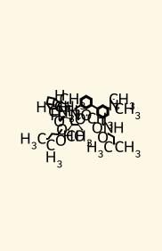 COc1c(CN2O[C@@H](CO)[C@@H]([C@H](C)OC(=O)CC(C)C)[C@H]2C(=O)N[C@H]2C[C@H]3C[C@@H]([C@@H]2C)C3(C)C)cccc1-c1cc(C(=O)NC(=O)CC(C)C)cc(N(C)C)c1